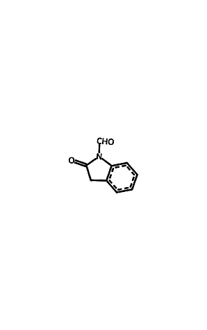 O=CN1C(=O)Cc2ccccc21